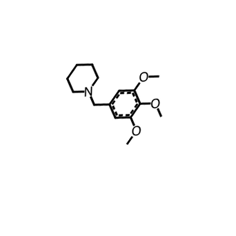 COc1cc(CN2CCCCC2)cc(OC)c1OC